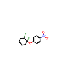 O=[N+]([O-])c1ccc(OC2(F)CC=CC=C2F)cc1